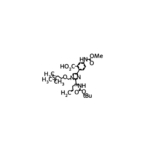 C=CC[C@H](NC(=O)OC(C)(C)C)c1nc(-c2ccc(NC(=O)OC)cc2C(=O)O)cn1COCC[Si](C)(C)C